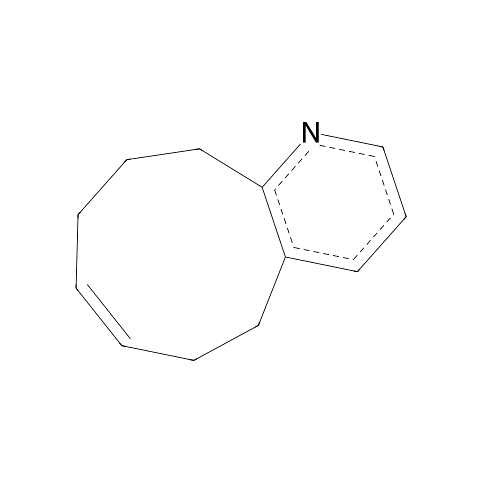 C1=CCCc2cccnc2CCC1